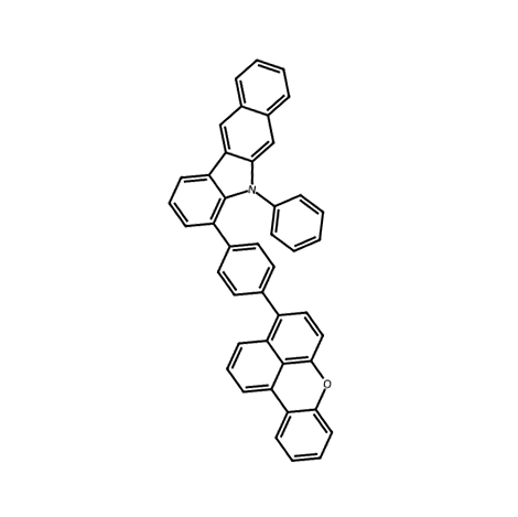 c1ccc(-n2c3cc4ccccc4cc3c3cccc(-c4ccc(-c5ccc6c7c(cccc57)-c5ccccc5O6)cc4)c32)cc1